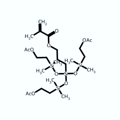 C=C(C)C(=O)OCCC[Si](O[Si](C)(C)CCOC(C)=O)(O[Si](C)(C)CCOC(C)=O)O[Si](C)(C)CCOC(C)=O